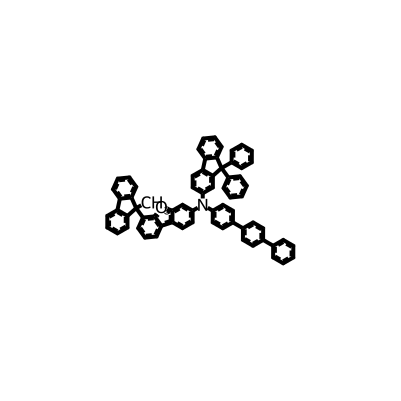 CC1(c2cccc3c2oc2cc(N(c4ccc(-c5ccc(-c6ccccc6)cc5)cc4)c4ccc5c(c4)C(c4ccccc4)(c4ccccc4)c4ccccc4-5)ccc23)c2ccccc2-c2ccccc21